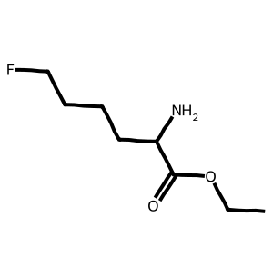 CCOC(=O)C(N)CCCCF